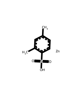 Cc1ccc(S(=O)(=O)O)c(C)c1.[Zn]